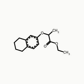 CCOC(=O)C(C)Oc1ccc2c(c1)CCCC2